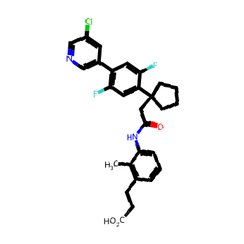 Cc1c(CCC(=O)O)cccc1NC(=O)CC1(c2cc(F)c(-c3cncc(Cl)c3)cc2F)CCCC1